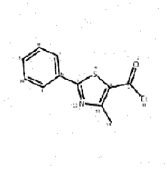 CCC(=O)c1sc(-c2ccccc2)nc1C